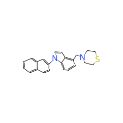 c1ccc2cc(-n3ccc4c(CN5CCSCC5)cccc43)ccc2c1